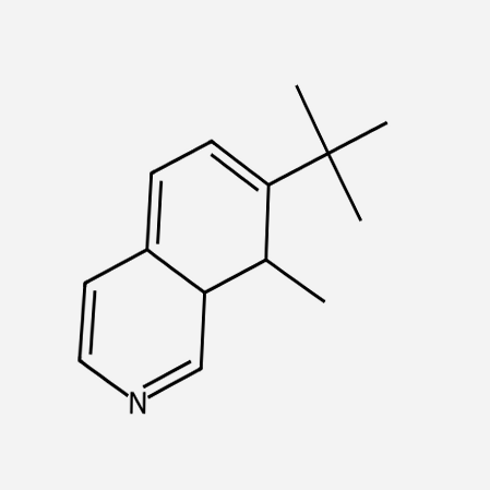 CC1C(C(C)(C)C)=CC=C2C=CN=CC21